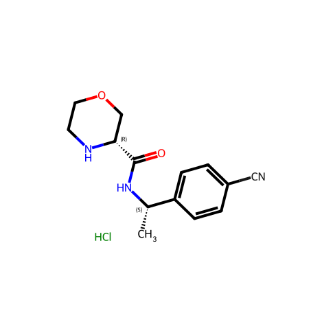 C[C@H](NC(=O)[C@H]1COCCN1)c1ccc(C#N)cc1.Cl